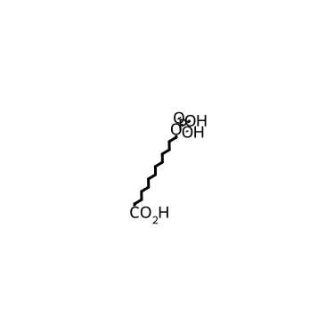 O=C(O)CCCCCCCCCCCCOP(=O)(O)O